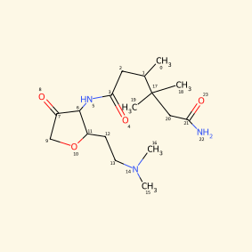 CC(CC(=O)NC1C(=O)COC1CCN(C)C)C(C)(C)CC(N)=O